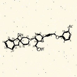 CC(=O)c1cccc(OCC#Cc2cnc(N3CCC4(CC3)Cc3ccccc3[C@H]4N)c(CO)n2)c1